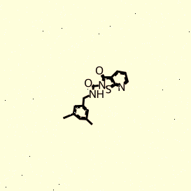 Cc1cc(C)cc(CNC(=O)n2sc3ncccc3c2=O)c1